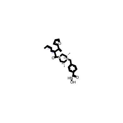 C=C(/C(=C\C=C/C)C(=O)N1C[C@@H](C)N(Cc2ccc(C(=O)NO)cc2)[C@@H](C)C1)c1ccco1